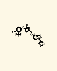 Fc1cc(COc2ccn3c(-c4cncnc4)nnc3n2)ccc1Oc1ccc(Cl)c(C(F)(F)F)c1